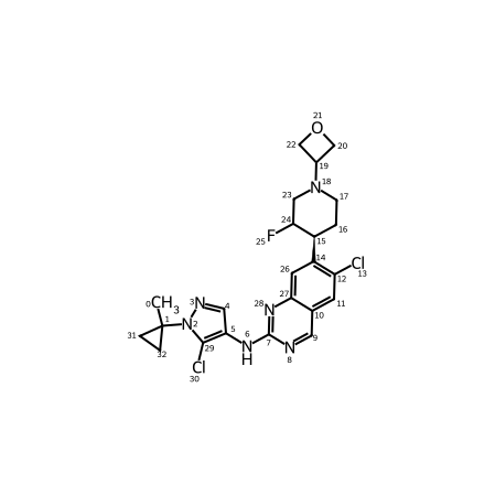 CC1(n2ncc(Nc3ncc4cc(Cl)c([C@@H]5CCN(C6COC6)CC5F)cc4n3)c2Cl)CC1